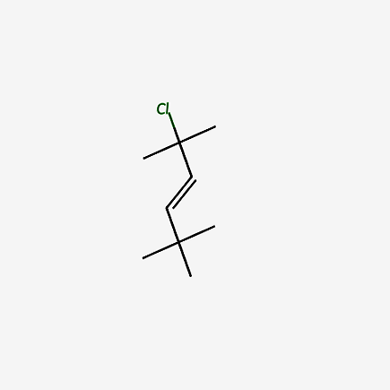 CC(C)(C)/C=C/C(C)(C)Cl